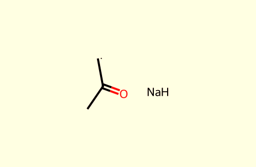 [CH2]C(C)=O.[NaH]